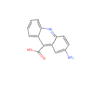 Nc1ccc2nc3ccccc3c(C(=O)O)c2c1